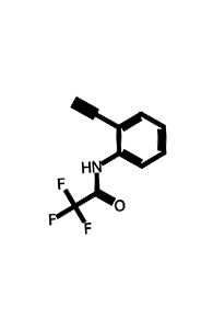 C#Cc1ccccc1NC(=O)C(F)(F)F